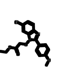 CCOC(=O)COn1c(-c2ccc(OC)cc2)nc2ccc(Cl)cc21